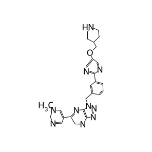 CN1C=C(c2cnc3nnn(Cc4cccc(-c5ncc(OCC6CCNCC6)cn5)c4)c3n2)C=NC1